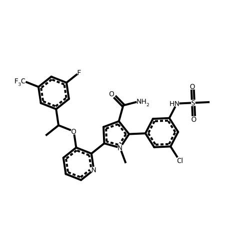 CC(Oc1cccnc1-c1cc(C(N)=O)c(-c2cc(Cl)cc(NS(C)(=O)=O)c2)n1C)c1cc(F)cc(C(F)(F)F)c1